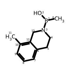 CB(O)N1CCc2cccc(C)c2C1